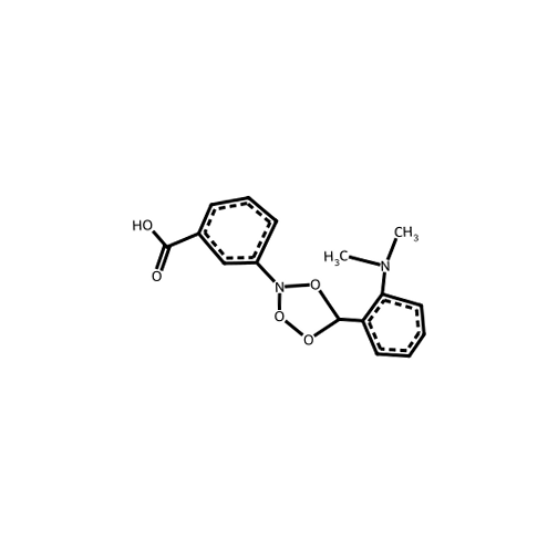 CN(C)c1ccccc1C1OON(c2cccc(C(=O)O)c2)O1